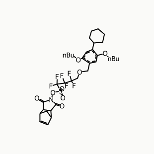 CCCCOc1cc(C2CCCCC2)c(OCCCC)cc1COCC(F)(F)C(F)(F)C(F)(F)S(=O)(=O)ON1C(=O)C2C3C=CC(C3)C2C1=O